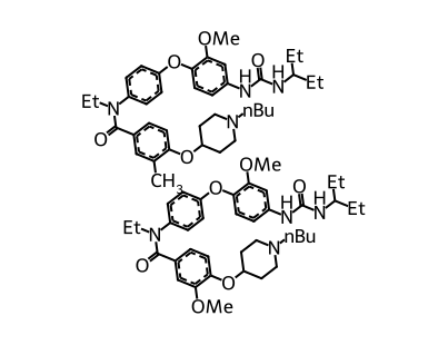 CCCCN1CCC(Oc2ccc(C(=O)N(CC)c3ccc(Oc4ccc(NC(=O)NC(CC)CC)cc4OC)cc3)cc2C)CC1.CCCCN1CCC(Oc2ccc(C(=O)N(CC)c3ccc(Oc4ccc(NC(=O)NC(CC)CC)cc4OC)cc3)cc2OC)CC1